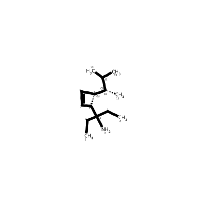 CCC(N)(CC)C1C=C[C@@H]1[C@@H](C)C(C)C